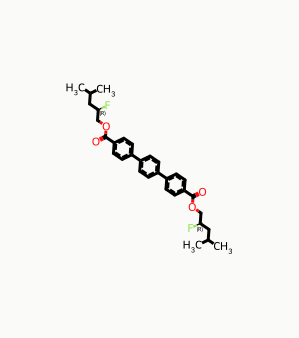 CC(C)C[C@@H](F)COC(=O)c1ccc(-c2ccc(-c3ccc(C(=O)OC[C@H](F)CC(C)C)cc3)cc2)cc1